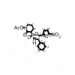 CC(=O)ON1CCCC(P(=O)(NCc2ccccc2)OCc2ccc([N+](=O)[O-])o2)C1=O